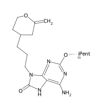 C=C1CC(CCCn2c(=O)[nH]c3c(N)nc(O[C@@H](C)CCC)nc32)CCO1